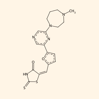 CN1CCCN(c2cncc(-c3ccc(C=C4SC(=S)NC4=O)o3)n2)CC1